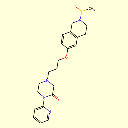 C[S+]([O-])N1CCc2cc(OCCCN3CCN(c4ccccn4)C(=O)C3)ccc2C1